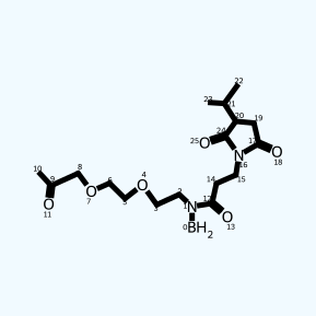 BN(CCOCCOCC(C)=O)C(=O)CCN1C(=O)CC(C(C)C)C1=O